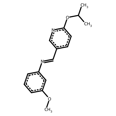 COc1cccc(N=Cc2ccc(OC(C)C)nc2)c1